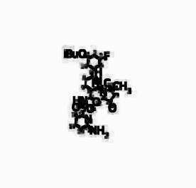 CC(C)COc1cc(F)cc(C2=CC=C(C(=O)NS(=O)(=O)c3cccc(N)n3)C(N3CC(=O)CC3(C)C)N2)c1